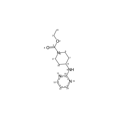 CCOC(=O)N1CCC(Nc2ncccn2)CC1